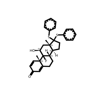 C[C@]12C=CC(=O)C=C1CC[C@H]1[C@@H]3CCC(Sc4ccccc4)(Sc4ccccc4)[C@@]3(C)C[C@H](O)C12F